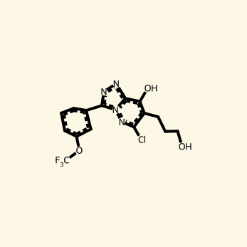 OCCCc1c(Cl)nn2c(-c3cccc(OC(F)(F)F)c3)nnc2c1O